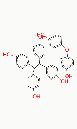 Oc1ccc(C(c2ccc(O)cc2)C(c2ccc(O)cc2)c2ccc(O)cc2)cc1.Oc1ccc(Oc2ccc(O)cc2)cc1